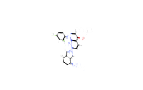 CCOC(=O)c1cn(-c2ccc(F)cc2F)c2nc(N3CC4CC=CC(N)C4C3)ccc2c1=O